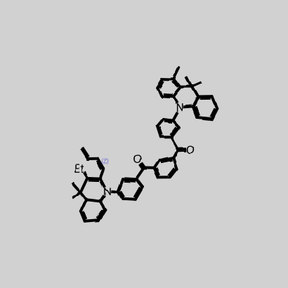 C=C/C=C\C1=C(CC)C(C)(C)C2C=CC=CC2N1c1cccc(C(=O)c2cccc(C(=O)c3cccc(N4c5ccccc5C(C)(C)c5c(C)cccc54)c3)c2)c1